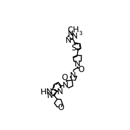 Cn1cnc(-c2ccc(C3=CCN(C(=O)CN4CC[C@]5(CCN(c6ccc7[nH]nc(C8CCOCC8)c7n6)C5=O)C4)CC3)s2)n1